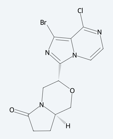 O=C1CC[C@@H]2CO[C@@H](c3nc(Br)c4c(Cl)nccn34)CN12